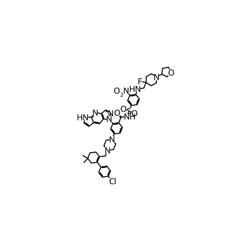 CC1(C)CCC(CN2CCN(c3ccc(C(=O)NS(=O)(=O)c4ccc(NCC5(F)CCN(C6CCOC6)CC5)c([N+](=O)[O-])c4)c(-n4ncc5nc6[nH]ccc6cc54)c3)CC2)=C(c2ccc(Cl)cc2)C1